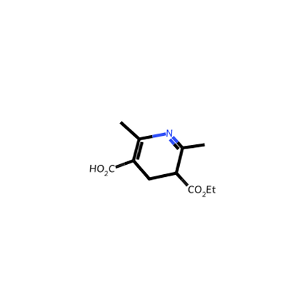 CCOC(=O)C1CC(C(=O)O)=C(C)N=C1C